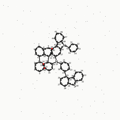 c1ccc(-c2cccc3cccc(-c4ccccc4N(c4cccc(-c5cccc6sc7ccccc7c56)c4)c4ccc5c6ccccc6n(-c6ccccc6)c5c4)c23)cc1